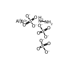 NN.O=S(=O)([O-])[O-].O=S(=O)([O-])[O-].O=S(=O)([O-])[O-].[Al+3].[Al+3]